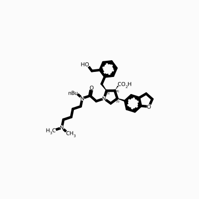 CCCCN(CCCCN(C)C)C(=O)CN1C[C@H](c2ccc3c(c2)CCO3)[C@@H](C(=O)O)[C@@H]1Cc1ccccc1CO